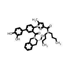 CCCCN(CCCC)C(=O)c1cc(C)n(-c2ccc(-c3ccc(O)c(O)c3)cc2C(=O)N2Cc3ccccc3C[C@H]2CO)n1